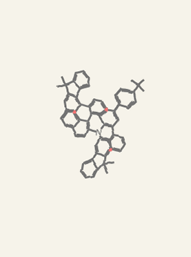 CC(C)(C)c1ccc(-c2ccc(N(c3ccc4c(c3)-c3ccccc3C4(C)C)c3ccc4ccccc4c3-c3ccccc3-c3cccc4c3-c3ccccc3C4(C)C)c(-c3ccccc3)c2)cc1